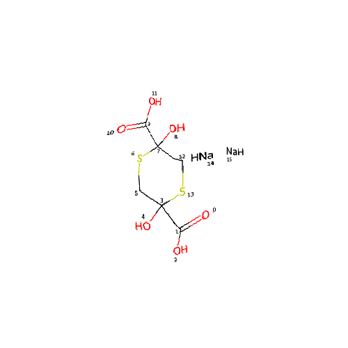 O=C(O)C1(O)CSC(O)(C(=O)O)CS1.[NaH].[NaH]